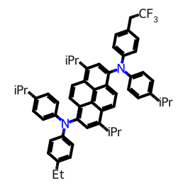 CCc1ccc(N(c2ccc(C(C)C)cc2)c2cc(C(C)C)c3ccc4c(N(c5ccc(CC(F)(F)F)cc5)c5ccc(C(C)C)cc5)cc(C(C)C)c5ccc2c3c54)cc1